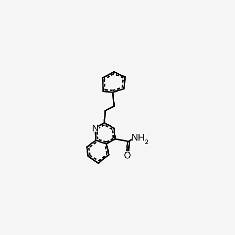 NC(=O)c1cc(CCc2ccccc2)nc2ccccc12